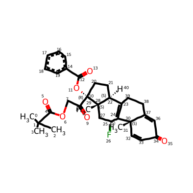 CC(C)(C)C(=O)OCC(=O)[C@@]1(OC(=O)c2ccccc2)CC[C@H]2C3=C([C@@H](F)C[C@@]21C)[C@@]1(C)C=CC(=O)C=C1CC3